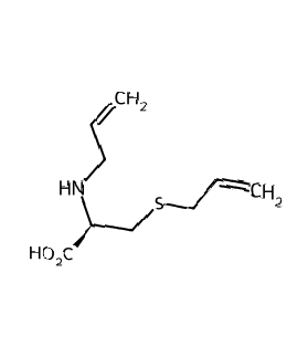 C=CCN[C@@H](CSCC=C)C(=O)O